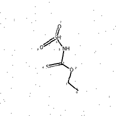 CCOC(=S)N[SH](=O)=O